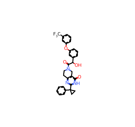 O=C(C(O)c1cccc(Oc2cccc(C(F)(F)F)c2)c1)N1CCc2nc(C3(c4ccccc4)CC3)[nH]c(=O)c2C1